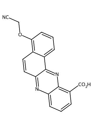 N#CCOc1cccc2c1ccc1nc3cccc(C(=O)O)c3nc12